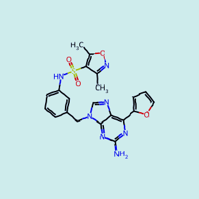 Cc1noc(C)c1S(=O)(=O)Nc1cccc(Cn2cnc3c(-c4ccco4)nc(N)nc32)c1